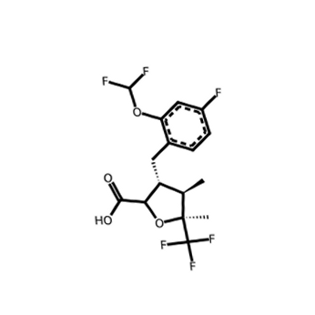 C[C@@H]1[C@@H](Cc2ccc(F)cc2OC(F)F)C(C(=O)O)O[C@]1(C)C(F)(F)F